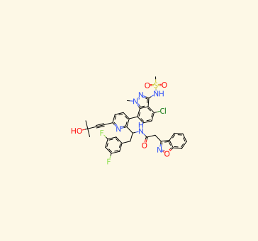 Cn1nc(NS(C)(=O)=O)c2c(Cl)ccc(-c3ccc(C#CC(C)(C)O)nc3C(Cc3cc(F)cc(F)c3)NC(=O)Cc3noc4ccccc34)c21